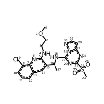 COCCNc1nc2c(Cl)cccc2cc1[C@H](C)Nc1nc(S(C)(=O)=O)nc2ccnn12